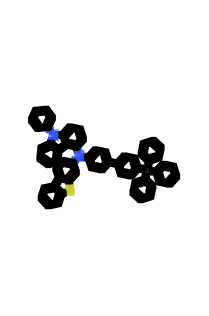 c1ccc(-n2c3ccccc3c3c(N(c4ccc(-c5ccc([Si](c6ccccc6)(c6ccccc6)c6ccccc6)cc5)cc4)c4ccc5c(c4)sc4ccccc45)cccc32)cc1